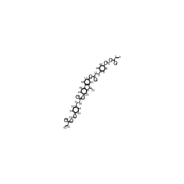 C=CC(=O)OCOc1ccc(CCC(=O)Oc2ccc3c(c2)C(C)c2cc(OC(=O)CCc4ccc(OCOC(=O)C=C)cc4)ccc2-3)cc1